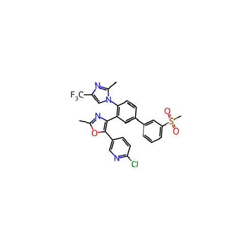 Cc1nc(-c2cc(-c3cccc(S(C)(=O)=O)c3)ccc2-n2cc(C(F)(F)F)nc2C)c(-c2ccc(Cl)nc2)o1